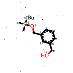 CC(C)(C)[Si](C)(C)OCc1cccc(CO)c1